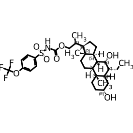 CC[C@H]1[C@@H](O)[C@@H]2[C@H](CC[C@]3(C)[C@@H]([C@H](C)COC(=O)NS(=O)(=O)c4ccc(OC(F)(F)F)cc4)CC[C@@H]23)[C@@]2(C)CC[C@@H](O)C[C@@H]12